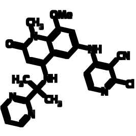 COc1cc(Nc2ccnc(Cl)c2C#N)cc2c(NC(C)(C)c3ncccn3)cc(=O)n(C)c12